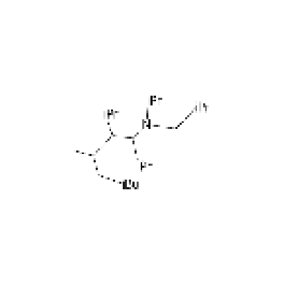 CCC(C)CC(C)C(C(C)C)C(C(C)C)N(CC(C)C)C(C)C